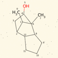 CC1C2CC(O)C1(C)C1CCCC21